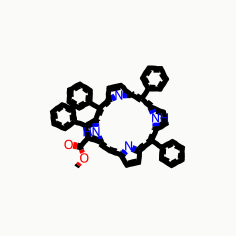 COC(=O)c1c(-c2ccccc2)c2[nH]c1cc1nc(c(-c3ccccc3)c3ccc([nH]3)c(-c3ccccc3)c3nc(c2-c2ccccc2)C=C3)C=C1